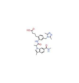 CNC(=O)c1ccc2c(C)cn(C(C)C(=O)Nc3cc(Cn4c(C)nnc4C)ccc3CCCC(=O)O)c2c1